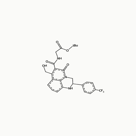 CC(C)(C)OC(=O)CNC(=O)c1c(CO)c2cccc3c2n(c1=O)CC(c1ccc(C(F)(F)F)cc1)N3